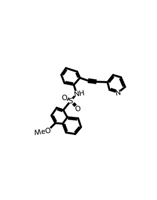 COc1ccc(S(=O)(=O)Nc2ccccc2C#Cc2cccnc2)c2ccccc12